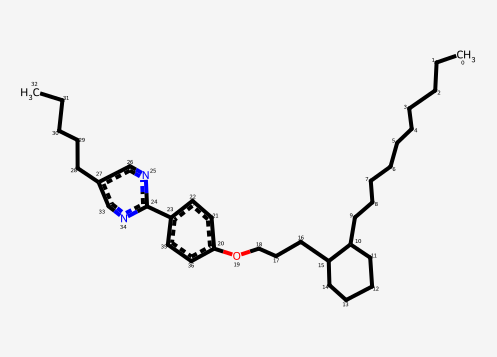 CCCCCCCCCCC1CCCCC1CCCOc1ccc(-c2ncc(CCCCC)cn2)cc1